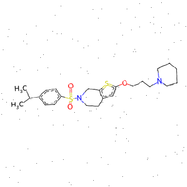 CC(C)c1ccc(S(=O)(=O)N2CCc3cc(OCCCN4CCCCC4)sc3C2)cc1